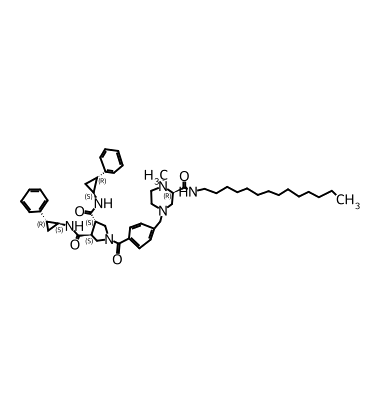 CCCCCCCCCCCCCCNC(=O)[C@H]1CN(Cc2ccc(C(=O)N3C[C@@H](C(=O)N[C@H]4C[C@@H]4c4ccccc4)[C@H](C(=O)N[C@H]4C[C@@H]4c4ccccc4)C3)cc2)CCN1C